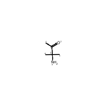 CC(=O)C(C)(C)N